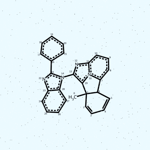 CC12C=CC=CC1c1cccc3nc(-n4c(-c5ccccc5)nc5ccccc54)c2n13